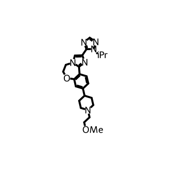 COCCN1CCC(c2ccc3c(c2)OCCn2cc(-c4ncnn4C(C)C)nc2-3)CC1